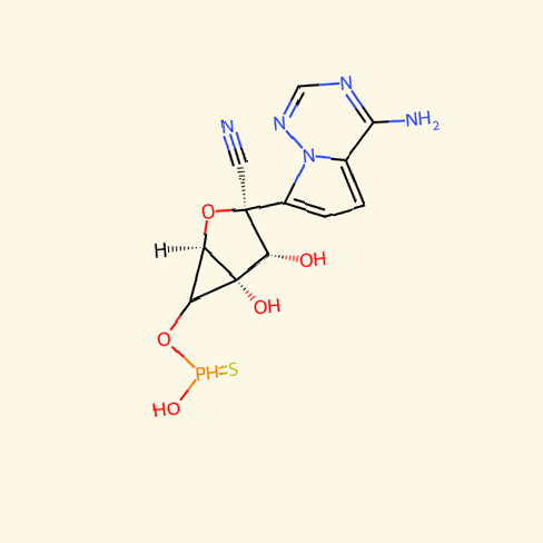 N#C[C@@]1(c2ccc3c(N)ncnn23)O[C@@H]2C(O[PH](O)=S)[C@]2(O)[C@H]1O